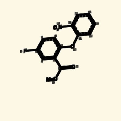 COC(=O)c1cc(F)ccc1Oc1ccccc1[N+](=O)[O-]